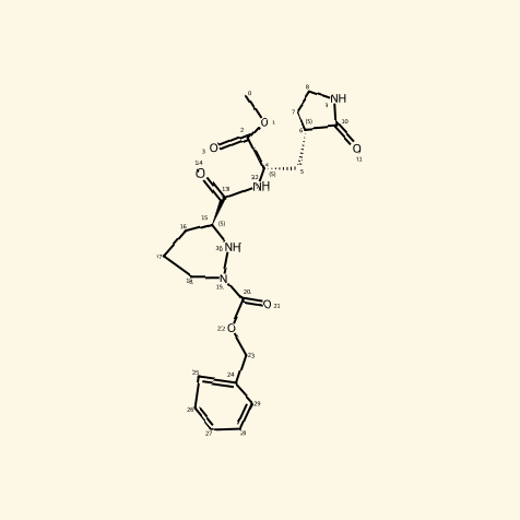 COC(=O)[C@H](C[C@@H]1CCNC1=O)NC(=O)[C@@H]1CCCN(C(=O)OCc2ccccc2)N1